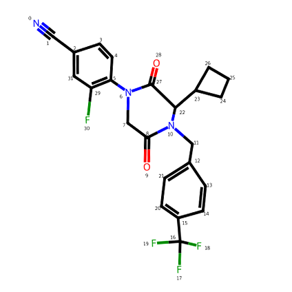 N#Cc1ccc(N2CC(=O)N(Cc3ccc(C(F)(F)F)cc3)C(C3CCC3)C2=O)c(F)c1